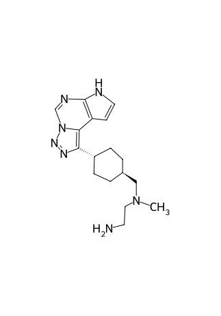 CN(CCN)C[C@H]1CC[C@H](c2nnn3cnc4[nH]ccc4c23)CC1